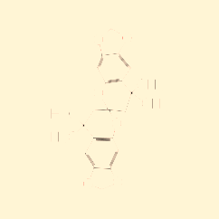 CC1(C)CC2(CC(C)(C)c3cc4c(cc3O2)OCO4)Oc2cc3c(cc21)OCO3